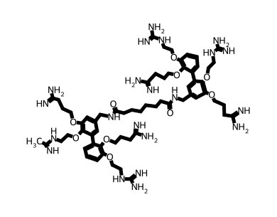 CC(=N)NCCOc1c(OCCCC(=N)N)cc(CNC(=O)CCCCCCC(=O)NCc2cc(OCCCC(=N)N)c(OCCNC(=N)N)c(-c3cccc(OCCNC(=N)N)c3OCCCC(=N)N)c2)cc1-c1cccc(OCCNC(=N)N)c1OCCCC(=N)N